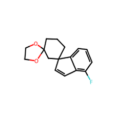 Fc1cccc2c1C=CC21CCCC2(C1)OCCO2